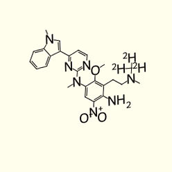 [2H]C([2H])([2H])N(C)CCc1c(N)c([N+](=O)[O-])cc(N(C)c2nccc(-c3cn(C)c4ccccc34)n2)c1OC